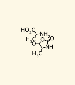 CC1NC(=O)OC1=O.C[C@H](N)C(=O)O